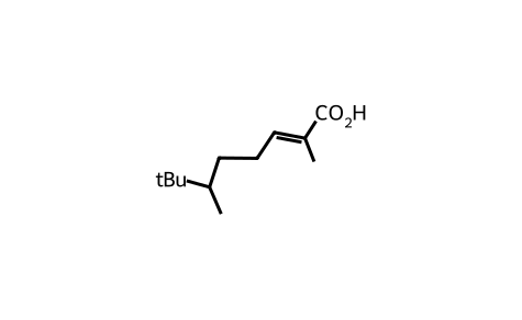 CC(=CCCC(C)C(C)(C)C)C(=O)O